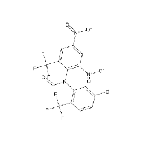 O=CN(c1cc(Cl)ccc1C(F)(F)F)c1c([N+](=O)[O-])cc([N+](=O)[O-])cc1C(F)(F)F